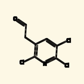 O=CCc1cc(Cl)c(Cl)nc1Cl